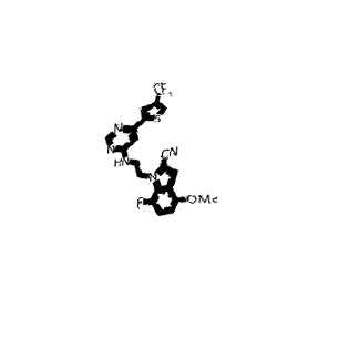 COc1ccc(F)c2c1cc(C#N)n2CCNc1cc(-c2cc(C(F)(F)F)cs2)ncn1